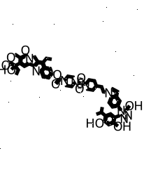 CCc1c2c(nc3ccc(OC(=O)N4CCN(S(=O)(=O)N5CCC(CCn6ccc7cc(-n8c(O)nnc8-c8cc(C(C)C)c(O)cc8O)ccc76)CC5)CC4)cc13)-c1cc3c(c(=O)n1C2)COC(=O)C3(O)CC